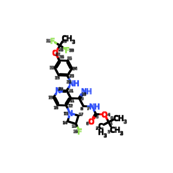 CC(C)(C)OC(=O)NCC(=N)c1c(N2CC(F)C2)ccnc1Nc1ccc(OC(C)(F)F)cc1